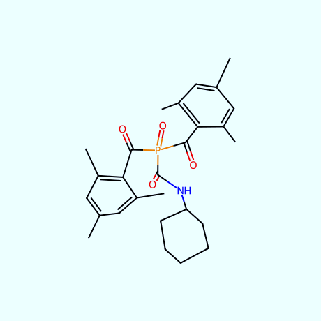 Cc1cc(C)c(C(=O)P(=O)(C(=O)NC2CCCCC2)C(=O)c2c(C)cc(C)cc2C)c(C)c1